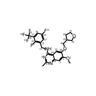 COc1cc2nc(C)nc(NCc3cc(F)cc(C(F)(F)F)c3F)c2cc1OCC1CCOC1